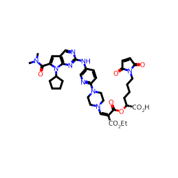 CCOC(=O)/C(=C/N1CCN(c2ccc(Nc3ncc4cc(C(=O)N(C)C)n(C5CCCC5)c4n3)cn2)CC1)C(=O)OC(CCCCN1C(=O)C=CC1=O)C(=O)O